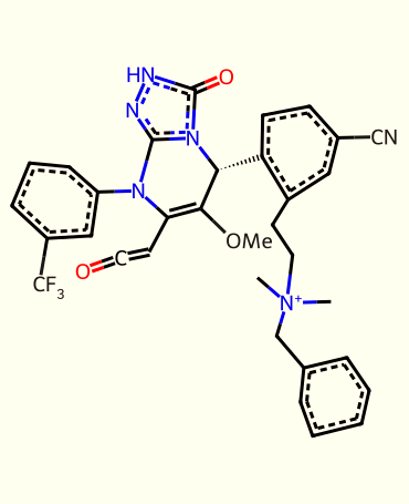 COC1=C(C=C=O)N(c2cccc(C(F)(F)F)c2)c2n[nH]c(=O)n2[C@@H]1c1ccc(C#N)cc1CC[N+](C)(C)Cc1ccccc1